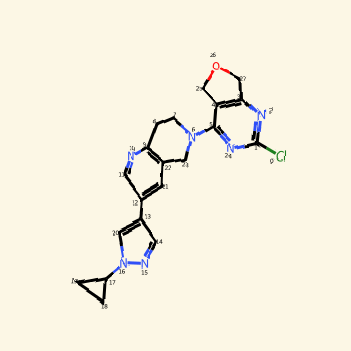 Clc1nc2c(c(N3CCc4ncc(-c5cnn(C6CC6)c5)cc4C3)n1)COC2